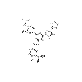 CC(C)Oc1ncc(-c2cc(COc3ccc(O)c(C(=O)O)c3)cc(-n3cc(C4CCCC4)nn3)c2)cc1Cl